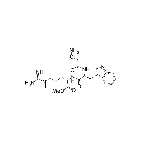 COC(=O)[C@H](CCCNC(=N)N)NC(=O)[C@H](CC1=c2ccccc2=NC1)NC(=O)CON